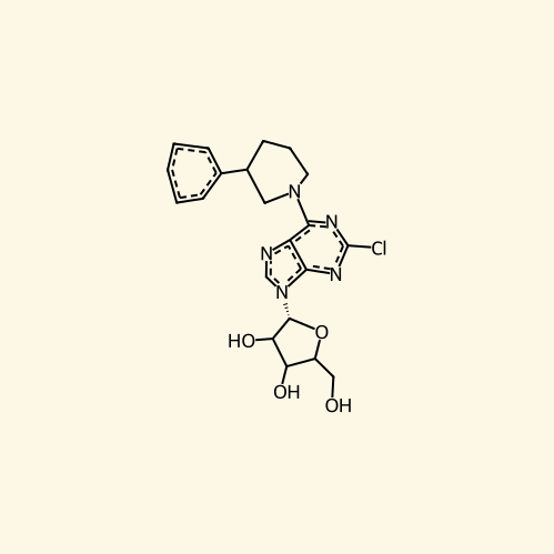 OCC1O[C@@H](n2cnc3c(N4CCCC(c5ccccc5)C4)nc(Cl)nc32)C(O)C1O